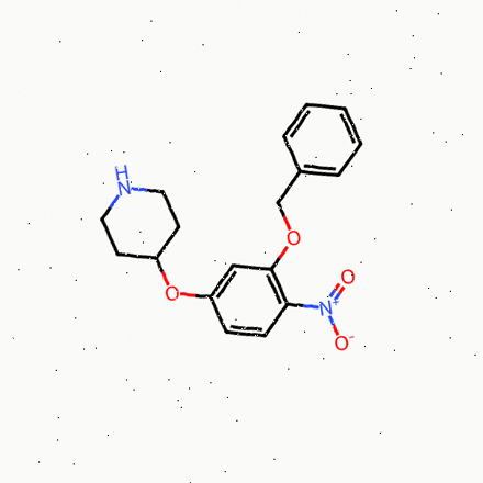 O=[N+]([O-])c1ccc(OC2CCNCC2)cc1OCc1ccccc1